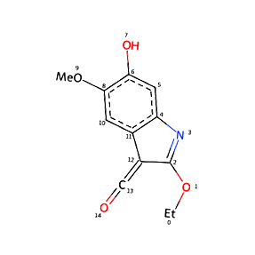 CCOC1=Nc2cc(O)c(OC)cc2C1=C=O